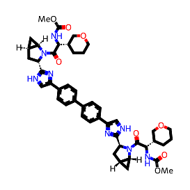 COC(=O)NC(C(=O)N1[C@@H]2C[C@@H]2C[C@H]1c1nc(-c2ccc(-c3ccc(-c4c[nH]c([C@@H]5C[C@H]6C[C@H]6N5C(=O)C(NC(=O)OC)[C@H]5CCCOC5)n4)cc3)cc2)c[nH]1)[C@H]1CCCOC1